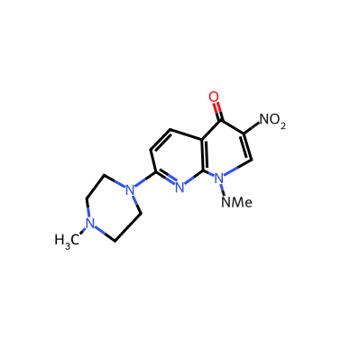 CNn1cc([N+](=O)[O-])c(=O)c2ccc(N3CCN(C)CC3)nc21